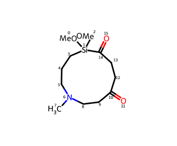 CO[Si]1(OC)CCCN(C)CCC(=O)CCC1=O